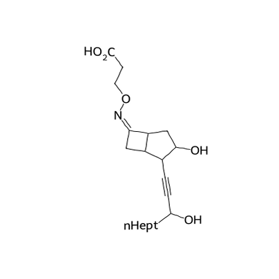 CCCCCCCC(O)C#CC1C(O)CC2C(=NOCCC(=O)O)CC21